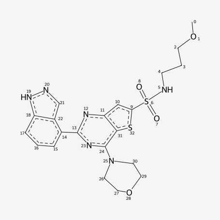 COCCCNS(=O)(=O)c1cc2nc(-c3cccc4[nH]ncc34)nc(N3CCOCC3)c2s1